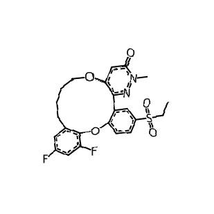 CCS(=O)(=O)c1ccc2c(c1)-c1nn(C)c(=O)cc1OCCCCc1cc(F)cc(F)c1O2